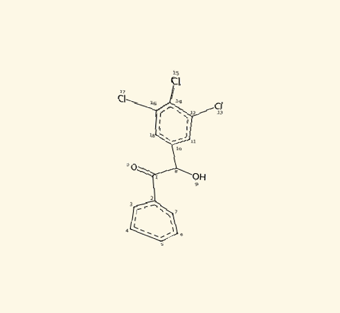 O=C(c1ccccc1)C(O)c1cc(Cl)c(Cl)c(Cl)c1